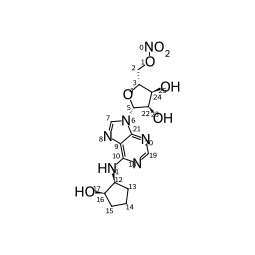 O=[N+]([O-])OC[C@H]1O[C@@H](n2cnc3c(N[C@H]4CCC[C@H]4O)ncnc32)[C@H](O)[C@@H]1O